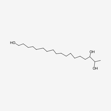 CC(O)C(O)CCCCCCCCCCCCCCCO